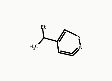 CCC(C)C1=CSN=C=C1